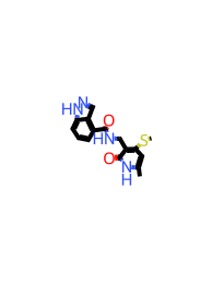 CSc1cc(C)[nH]c(=O)c1CNC(=O)c1cccc2[nH]ncc12